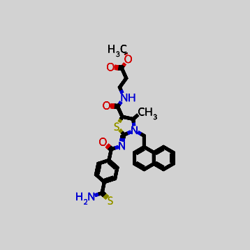 COC(=O)CCNC(=O)C1SC(=NC(=O)c2ccc(C(N)=S)cc2)N(Cc2cccc3ccccc23)C1C